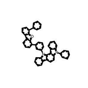 c1ccc(-c2cccc3c2oc2c(-c4cccc(-n5c6ccccc6c6ccc7c(c8ccccc8n7-c7ccccc7)c65)c4)cccc23)cc1